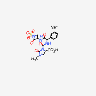 CN1CC(C(=O)O)N(C(=O)NC(C(=O)NC2CN(S(=O)(=O)[O-])C2=O)c2ccccc2)C1=O.[Na+]